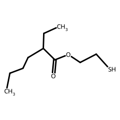 CCCCC(CC)C(=O)OCCS